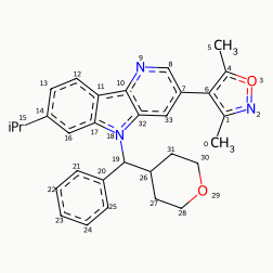 Cc1noc(C)c1-c1cnc2c3ccc(C(C)C)cc3n(C(c3ccccc3)C3CCOCC3)c2c1